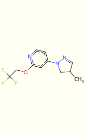 CC1C=NN(c2ccnc(OCC(F)(F)F)c2)C1